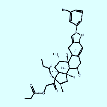 CCC(=O)OCC(=O)[C@@]1(OC(=O)CC)[C@H](C)C[C@H]2[C@H]3[C@H]([C@@H](O)C[C@@]21C)[C@@]1(C)CC2=CN(c4cccc(Br)c4)NC2C=C1C[C@H]3Cl